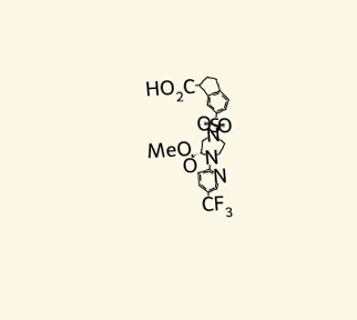 COC(=O)[C@@H]1CN(S(=O)(=O)c2ccc3c(c2)C(C(=O)O)CC3)CCN1c1ccc(C(F)(F)F)cn1